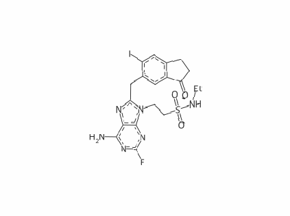 CCNS(=O)(=O)CCn1c(Cc2cc3c(cc2I)CCC3=O)nc2c(N)nc(F)nc21